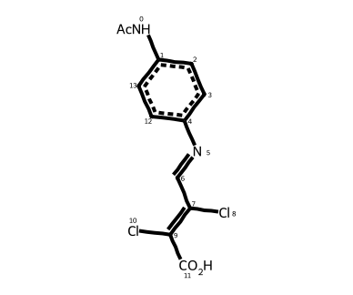 CC(=O)Nc1ccc(/N=C/C(Cl)=C(\Cl)C(=O)O)cc1